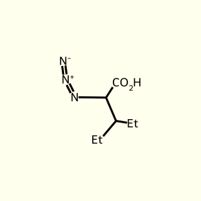 CCC(CC)C(N=[N+]=[N-])C(=O)O